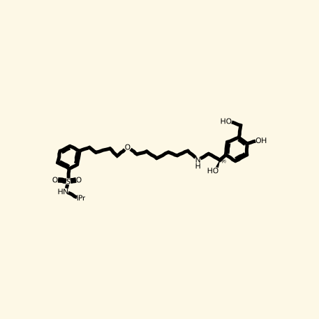 CC(C)NS(=O)(=O)c1cccc(CCCCOCCCCCCNC[C@H](O)c2ccc(O)c(CO)c2)c1